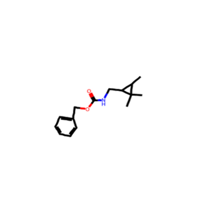 CC1C(CNC(=O)OCc2ccccc2)C1(C)C